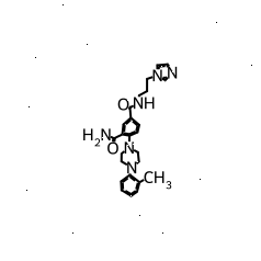 Cc1ccccc1N1CCN(c2ccc(C(=O)NCCCn3ccnc3)cc2C(N)=O)CC1